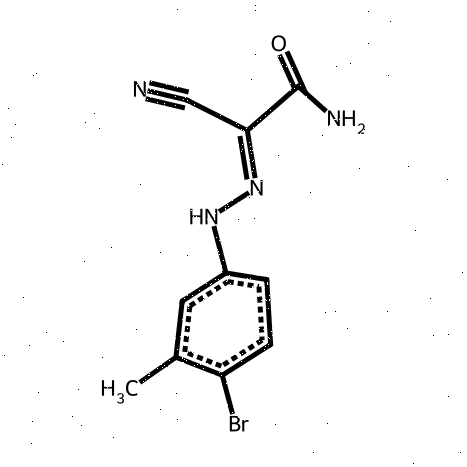 Cc1cc(N/N=C(\C#N)C(N)=O)ccc1Br